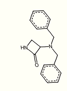 O=C1NCC1N(Cc1ccccc1)Cc1ccccc1